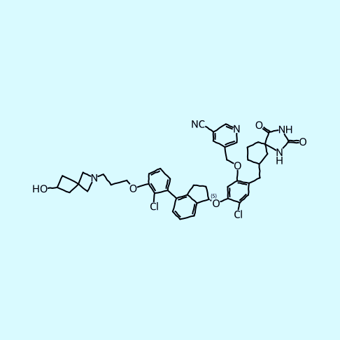 N#Cc1cncc(COc2cc(O[C@H]3CCc4c(-c5cccc(OCCCN6CC7(CC(O)C7)C6)c5Cl)cccc43)c(Cl)cc2CC2CCCC3(C2)NC(=O)NC3=O)c1